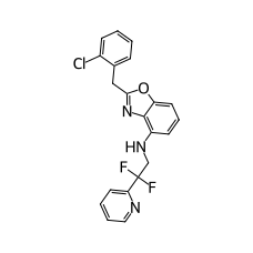 FC(F)(CNc1cccc2oc(Cc3ccccc3Cl)nc12)c1ccccn1